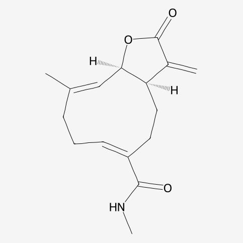 C=C1C(=O)O[C@@H]2/C=C(\C)CC/C=C(\C(=O)NC)CC[C@H]12